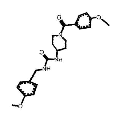 COc1ccc(CNC(=O)NC2CCN(C(=O)c3ccc(OC)cc3)CC2)cc1